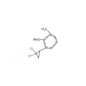 COc1c(C)cccc1C1CC1(Cl)Cl